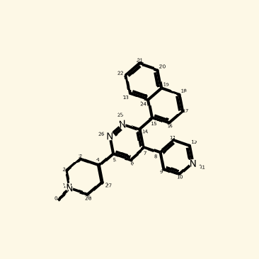 CN1CCC(c2cc(-c3ccncc3)c(-c3cccc4ccccc34)nn2)CC1